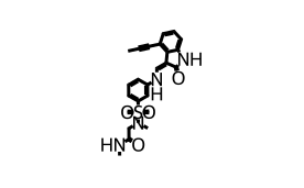 CC#Cc1cccc2c1/C(=C/Nc1cccc(S(=O)(=O)N(C)CC(=O)NC)c1)C(=O)N2